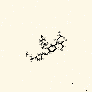 CCOC(=O)c1nnc(N=Nc2cc3c(cc2NS(=O)(=O)C(F)(F)F)N(CC(C)C)C(C)CC3)s1